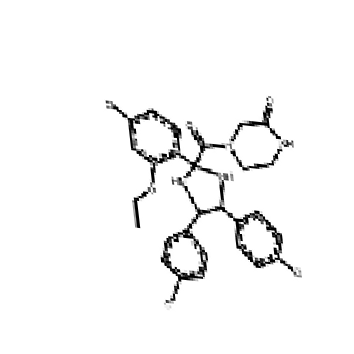 CCOc1cc(Cl)ccc1C1(C(=O)N2CCNC(=O)C2)NC(c2ccc(Cl)cc2)C(c2ccc(Cl)cc2)N1